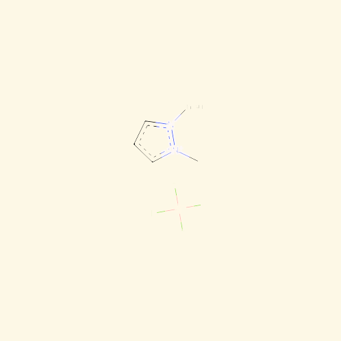 CCCCn1ccc[n+]1C.F[B-](F)(F)F